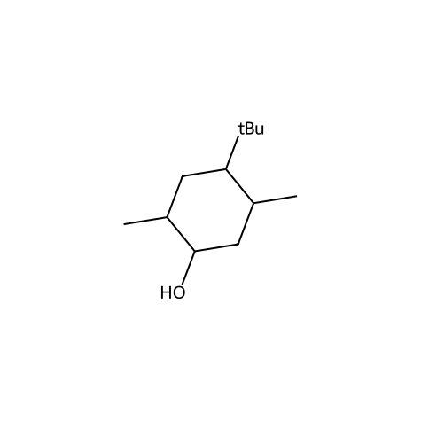 CC1CC(C(C)(C)C)C(C)CC1O